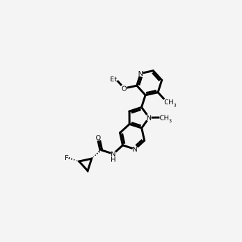 CCOc1nccc(C)c1-c1cc2cc(NC(=O)[C@@H]3C[C@@H]3F)ncc2n1C